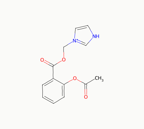 CC(=O)Oc1ccccc1C(=O)OC[n+]1cc[nH]c1